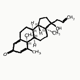 C=CCC1(O)CC[C@H]2[C@@H]3CCC4=CC(=O)C=C(C)[C@]4(C)[C@@H]3CC[C@@]21C